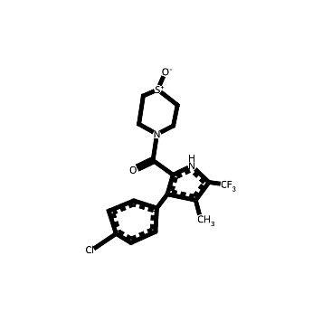 Cc1c(C(F)(F)F)[nH]c(C(=O)N2CC[S+]([O-])CC2)c1-c1ccc(Cl)cc1